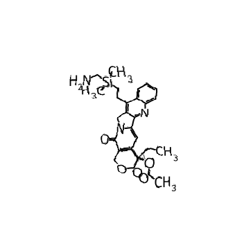 CC[C@@]1(OC(C)=O)C(=O)OCc2c1cc1n(c2=O)Cc2c-1nc1ccccc1c2CC[Si](C)(C)CN